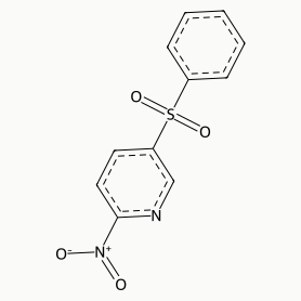 O=[N+]([O-])c1ccc(S(=O)(=O)c2ccccc2)cn1